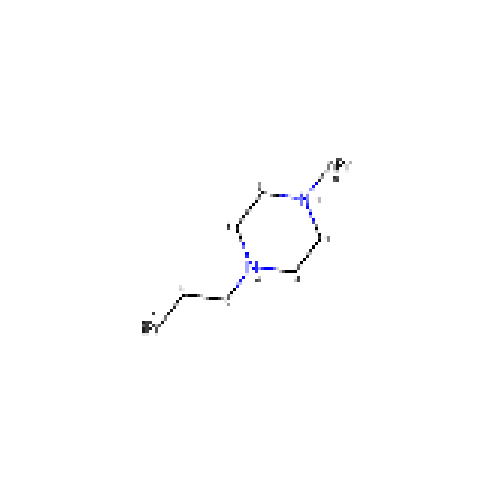 CCCN1CCN(CCC(C)C)CC1